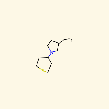 CC1CCN(C2CCSCC2)C1